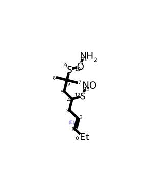 CC/C=C/CC(CC(C)(C)SON)SN=O